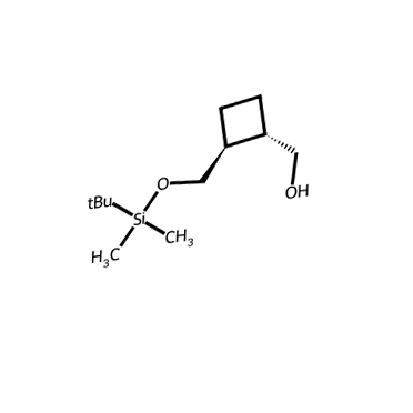 CC(C)(C)[Si](C)(C)OC[C@H]1CC[C@@H]1CO